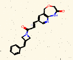 O=C1COCc2cc(/C=C/C(=O)N3CC(=Cc4ccccc4)C3)cnc2N1